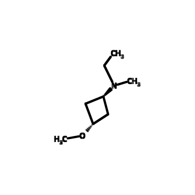 CCN(C)[C@H]1C[C@H](OC)C1